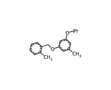 Cc1cc(OCc2ccccc2C)cc(OC(C)C)c1